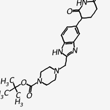 CC(C)(C)OC(=O)N1CCN(Cc2nc3cc(C4CCC(=O)NC4=O)ccc3[nH]2)CC1